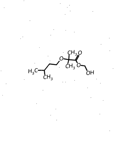 CC(C)CCOC(C)(C)C(=O)OCO